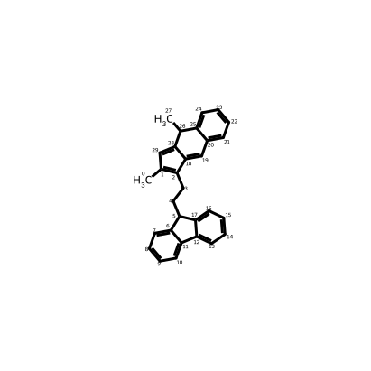 CC1=C(CCC2c3ccccc3-c3ccccc32)C2=Cc3ccccc3C(C)C2=C1